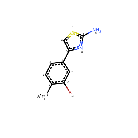 COc1ccc(-c2csc(N)n2)cc1Br